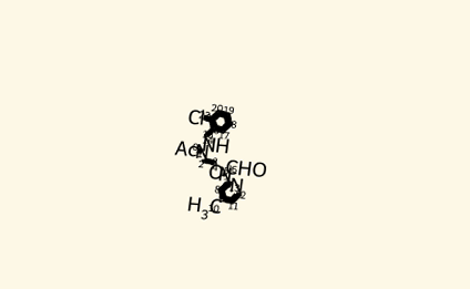 CC(=O)N(CCON(C=O)c1cc(C)ccn1)NCc1ccccc1Cl